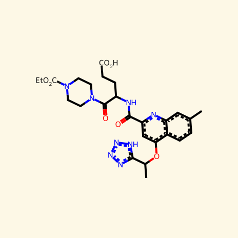 CCOC(=O)N1CCN(C(=O)C(CCC(=O)O)NC(=O)c2cc(OC(C)c3nnn[nH]3)c3ccc(C)cc3n2)CC1